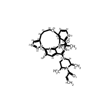 C=CC(=O)N1C(C)CN(c2nc(=O)n3c4nc(c(F)cc24)-n2nncc2CCCOc2ccnc(C(C)C)c2-3)CC1C